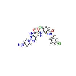 NC1CCN(c2ncc3cc(C(=O)Nc4cc(C(=O)NCc5cccc(Cl)c5)ccc4Cl)c(=O)[nH]c3n2)CC1